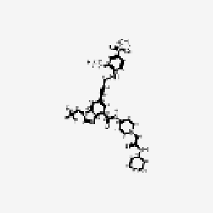 COc1cc(S(C)(=O)=O)ccc1NCC#Cc1cc(C(=O)NC2CCN(CC(=O)NC3CCOCC3)CC2)c2ncn(CC(F)(F)F)c2c1